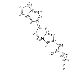 O=C(Nc1cc2cc(-c3cnc4[nH]ccc4c3)ccn2n1)[C@@H]1C[C@@H]1F